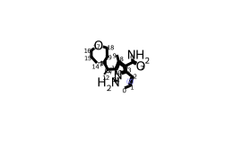 C/C=C\c1c(C(N)=O)c(C)c([C@@H](C)[C@@H]2CCCOCC2)n1N